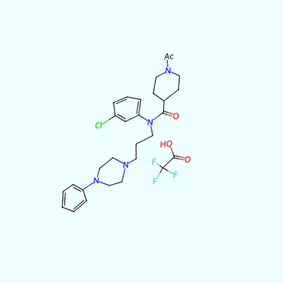 CC(=O)N1CCC(C(=O)N(CCCN2CCN(c3ccccc3)CC2)c2cccc(Cl)c2)CC1.O=C(O)C(F)(F)F